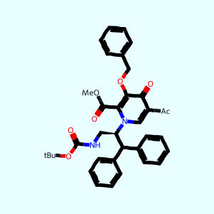 COC(=O)c1c(OCc2ccccc2)c(=O)c(C(C)=O)cn1[C@H](CNC(=O)OC(C)(C)C)C(c1ccccc1)c1ccccc1